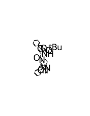 CN1N=C2CCN(C(=O)C(COc3ccccc3)NC(=O)OC(C)(C)C)C[C@@]2(Cc2ccccc2)C1=O